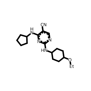 CCOC1CCC(Nc2ncc(C#N)c(NC3CCCC3)n2)CC1